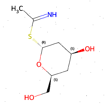 CC(=N)S[C@@H]1C[C@@H](O)C[C@@H](CO)O1